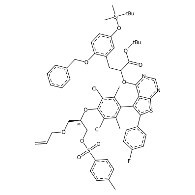 C=CCOC[C@H](COS(=O)(=O)c1ccc(C)cc1)Oc1c(Cl)c(C)c(-c2c(-c3ccc(F)cc3)sc3ncnc(OC(Cc4cc(O[Si](C)(C)C(C)(C)C)ccc4OCc4ccccc4)C(=O)OC(C)(C)C)c23)c(C)c1Cl